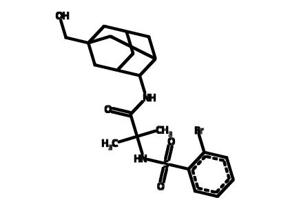 CC(C)(NS(=O)(=O)c1ccccc1Br)C(=O)NC1C2CC3CC1CC(CO)(C3)C2